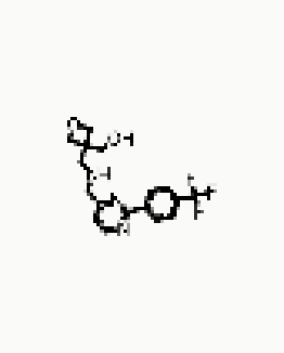 OCC1(CNCc2ccnc(-c3ccc(C(F)(F)F)cc3)n2)COC1